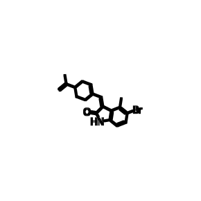 C=C(C)C1CC=C(C=C2C(=O)Nc3ccc(Br)c(C)c32)CC1